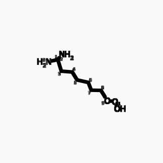 NC(N)CCCCCCOOO